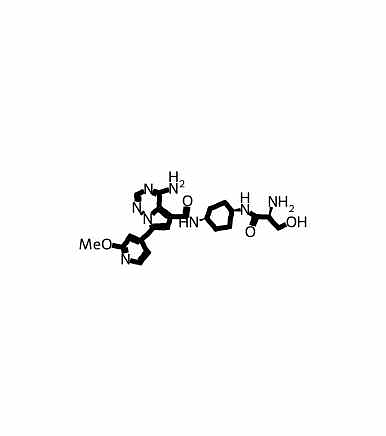 COc1cc(-c2cc(C(=O)N[C@H]3CC[C@H](NC(=O)[C@@H](N)CO)CC3)c3c(N)ncnn23)ccn1